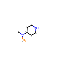 CN(P)C1CCNCC1